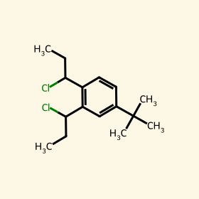 CCC(Cl)c1ccc(C(C)(C)C)cc1C(Cl)CC